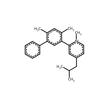 Cc1cc(C)c(-c2cc(CC(C)C)cc[n+]2C)cc1-c1ccccc1